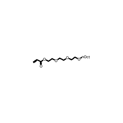 C=CC(=O)OCCOCCOCCOCCCCCCCC